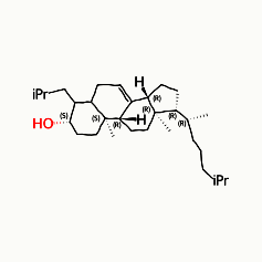 CC(C)CCC[C@@H](C)[C@H]1CC[C@H]2C3=CCC4C(CC(C)C)[C@@H](O)CC[C@]4(C)[C@H]3CC[C@]12C